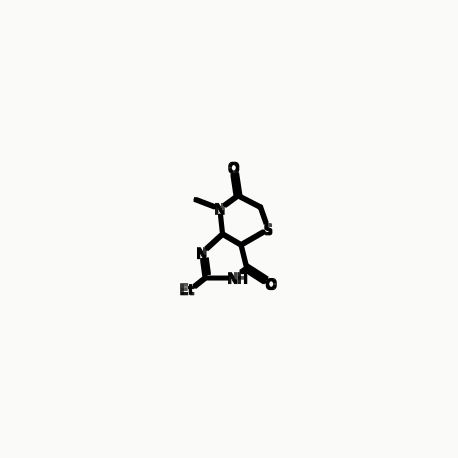 CCC1=NC2C(SCC(=O)N2C)C(=O)N1